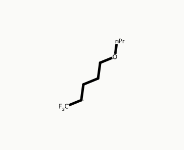 CCCOCCC[CH]C(F)(F)F